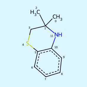 CC1(C)CSc2ccccc2N1